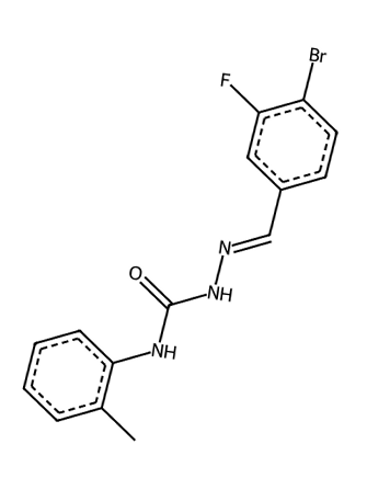 Cc1ccccc1NC(=O)N/N=C/c1ccc(Br)c(F)c1